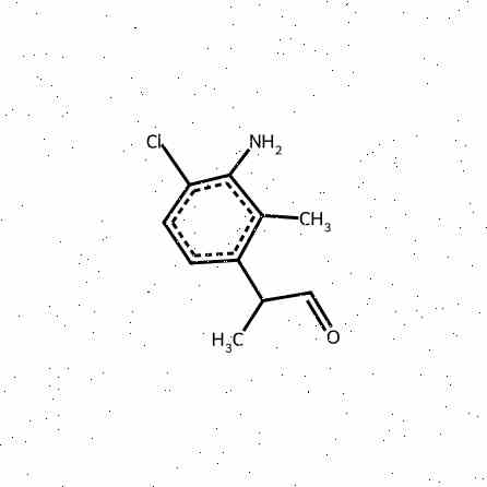 Cc1c(C(C)C=O)ccc(Cl)c1N